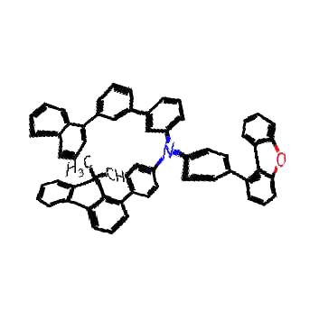 CC1(C)c2ccccc2-c2cccc(-c3ccc(N(c4ccc(-c5cccc6oc7ccccc7c56)cc4)c4cccc(-c5cccc(-c6cccc7ccccc67)c5)c4)cc3)c21